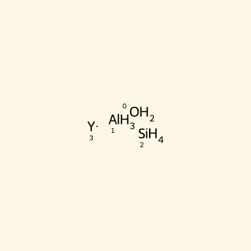 O.[AlH3].[SiH4].[Y]